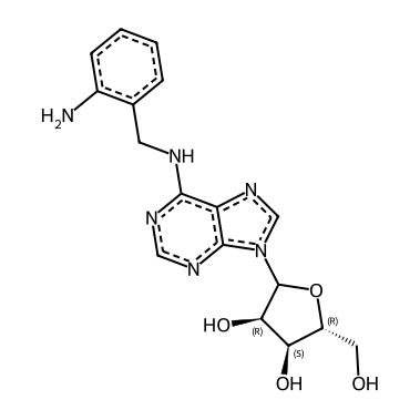 Nc1ccccc1CNc1ncnc2c1ncn2C1O[C@H](CO)[C@@H](O)[C@H]1O